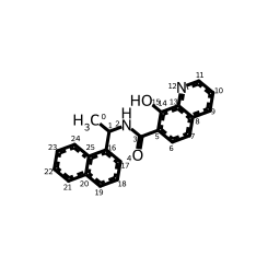 CC(NC(=O)c1ccc2cccnc2c1O)c1cccc2ccccc12